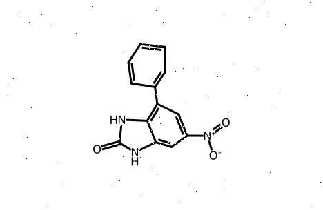 O=c1[nH]c2cc([N+](=O)[O-])cc(-c3ccccc3)c2[nH]1